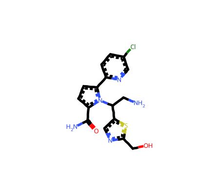 NCC(c1cnc(CO)s1)n1c(C(N)=O)ccc1-c1ccc(Cl)cn1